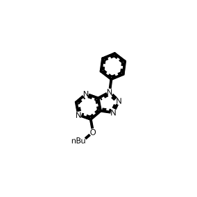 CCCCOc1ncnc2c1nnn2-c1ccccc1